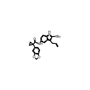 C=CCc1c(C(C)(C)C)[nH]c2ccc(NC(=O)C3(c4ccc5c(c4)OCO5)CC3)cc12